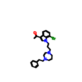 CC(=O)c1cn(CCCN2CCCN(CCc3ccccc3)CC2)c2c(Br)cccc12